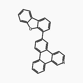 c1ccc2c(c1)oc1c(-c3ccc4c5ccccc5c5cnccc5c4c3)cccc12